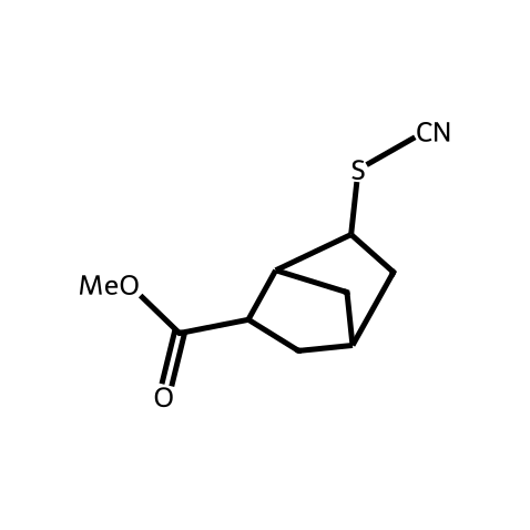 COC(=O)C1CC2CC(SC#N)C1C2